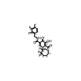 Cc1ccc(CNC(=O)c2cn3c(c(O)c2=O)C(=O)N2CCCC(F)(F)[C@H]3C2)c(F)c1C